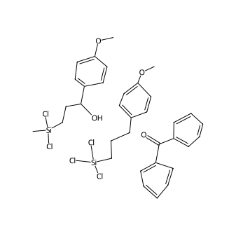 COc1ccc(C(O)CC[Si](C)(Cl)Cl)cc1.COc1ccc(CCC[Si](Cl)(Cl)Cl)cc1.O=C(c1ccccc1)c1ccccc1